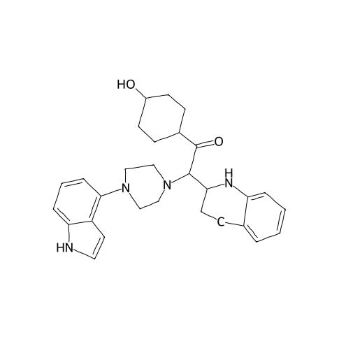 O=C(C1CCC(O)CC1)C(C1CCc2ccccc2N1)N1CCN(c2cccc3[nH]ccc23)CC1